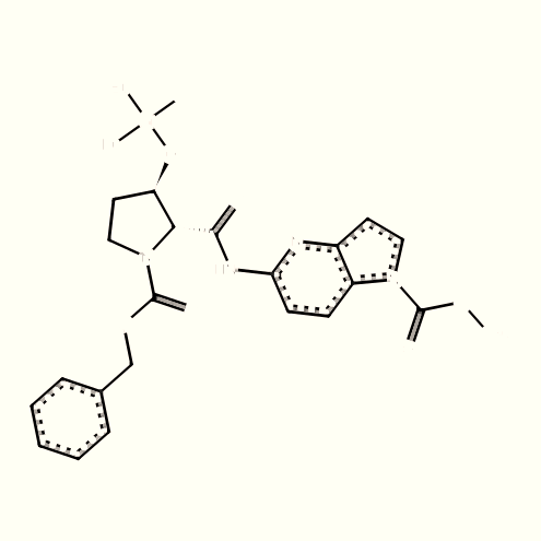 CC[Si](CC)(CC)O[C@@H]1CCN(C(=O)OCc2ccccc2)[C@H]1C(=O)Nc1ccc2c(ccn2C(=O)OC(C)(C)C)n1